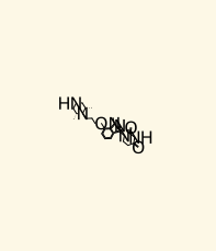 C[C@@H]1CNC[C@H](C)N1CCCOc1cccc2c(N3CCC(=O)NC3=O)nn(C)c12